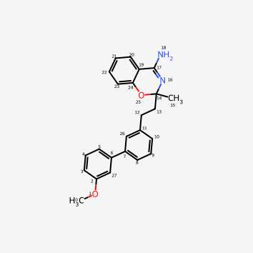 COc1cccc(-c2cccc(CCC3(C)N=C(N)c4ccccc4O3)c2)c1